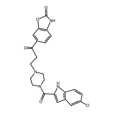 O=C(CCN1CCN(C(=O)c2cc3cc(Cl)ccc3[nH]2)CC1)c1ccc2[nH]c(=O)oc2c1